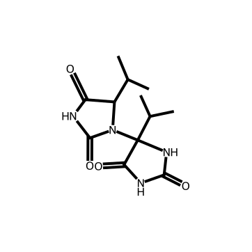 CC(C)C1C(=O)NC(=O)N1C1(C(C)C)NC(=O)NC1=O